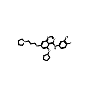 Fc1ccc(Nc2ncnc3cc(OCCCN4CCCC4)cc(OC4CCCC4)c23)cc1Cl